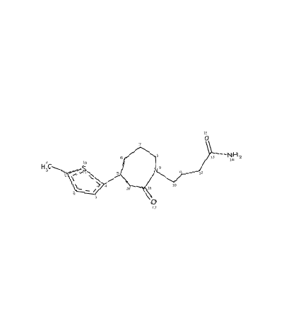 Cc1ccc(C2CCCN(CCCC(N)=O)C(=O)C2)s1